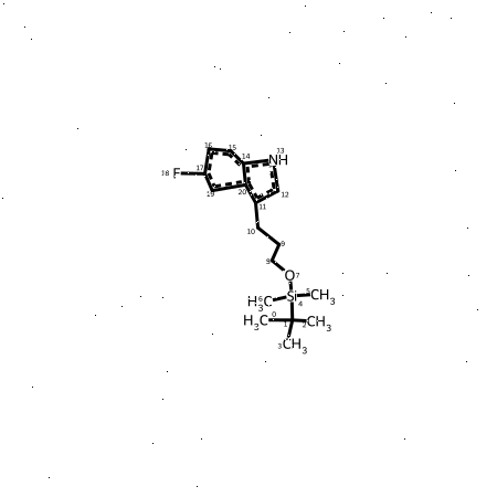 CC(C)(C)[Si](C)(C)OCCCc1c[nH]c2ccc(F)cc12